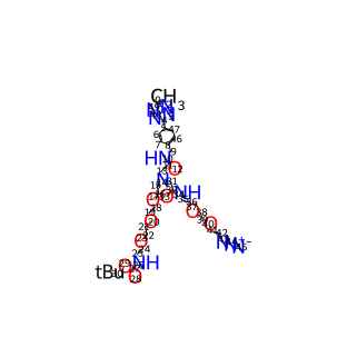 Cc1nnc(-c2ccc(CNC(=O)CN(CCOCCOCCOCCNC(=O)OC(C)(C)C)CC(=O)NCCOCCOCCN=[N+]=[N-])cc2)nn1